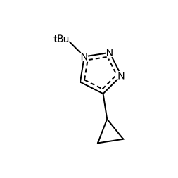 CC(C)(C)n1cc(C2CC2)nn1